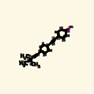 C[Si](C)(C)C#Cc1ccc(C#Cc2ccc(I)cc2)cc1